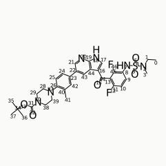 CCN(C)S(=O)(=O)Nc1ccc(F)c(C(=O)c2c[nH]c3ncc(-c4ccc(N5CCN(C(=O)OC(C)(C)C)CC5)c(C)c4)cc23)c1F